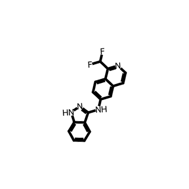 FC(F)c1nccc2cc(Nc3n[nH]c4ccccc34)ccc12